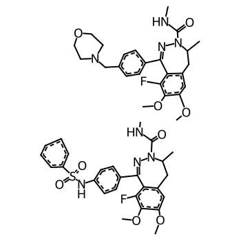 CNC(=O)N1N=C(c2ccc(CN3CCOCC3)cc2)c2c(cc(OC)c(OC)c2F)CC1C.CNC(=O)N1N=C(c2ccc(NS(=O)(=O)c3ccccc3)cc2)c2c(cc(OC)c(OC)c2F)CC1C